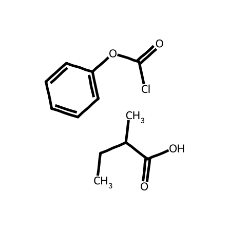 CCC(C)C(=O)O.O=C(Cl)Oc1ccccc1